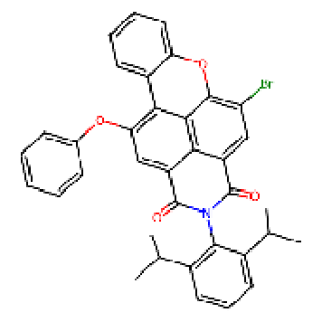 CC(C)c1cccc(C(C)C)c1-n1c(=O)c2cc(Br)c3oc4ccccc4c4c(Oc5ccccc5)cc(c1=O)c2c34